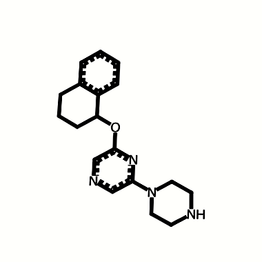 c1ccc2c(c1)CCCC2Oc1cncc(N2CCNCC2)n1